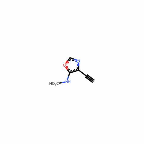 C#Cc1ncoc1NC(=O)O